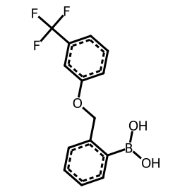 OB(O)c1ccccc1COc1cccc(C(F)(F)F)c1